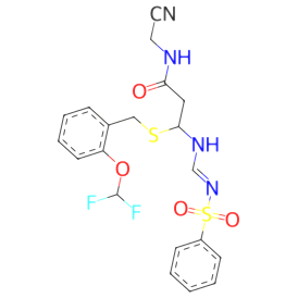 N#CCNC(=O)CC(NC=NS(=O)(=O)c1ccccc1)SCc1ccccc1OC(F)F